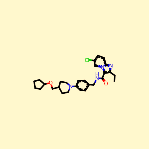 CCc1nc2ccc(Cl)cn2c1C(=O)NCc1ccc(N2CCC(COC3CCCC3)CC2)cc1